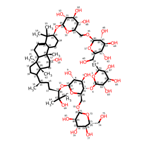 CC[C@@H]1O[C@H](O[C@H]2[C@H](O)[C@@H](O)[C@H](O[C@H](CC[C@@H](C)C3CC[C@@]4(C)C5CC=C6C(CC[C@H](O[C@@H]7O[C@H](CO[C@@H]8O[C@H](CO)[C@@H](O)[C@H](O)[C@H]8O)[C@@H](O)[C@H](O)[C@H]7O)C6(C)C)[C@]5(C)[C@H](O)C[C@]34C)C(C)(C)O)O[C@@H]2CO[C@@H]2O[C@H](CO)[C@@H](O)[C@H](O)[C@H]2O)[C@@H](O)[C@H](O)[C@H]1O